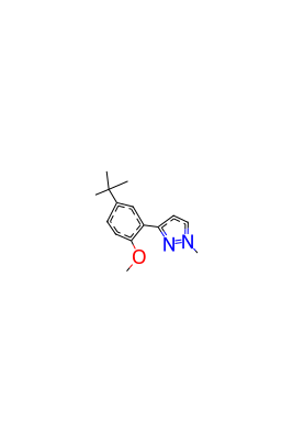 COc1ccc(C(C)(C)C)cc1-c1ccn(C)n1